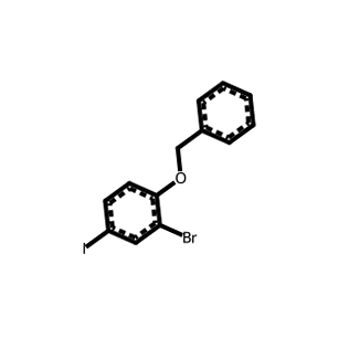 Brc1cc(I)ccc1OCc1ccccc1